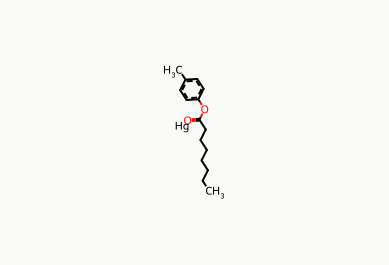 CCCCCCCC(=O)Oc1ccc(C)cc1.[Hg]